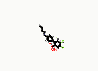 CCC/C=C/c1ccc(-c2c(C(=O)O)cc(F)c(F)c2F)cc1